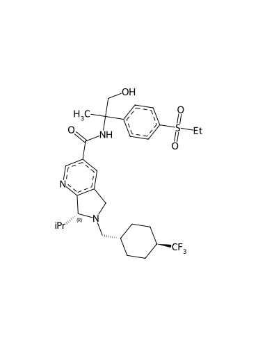 CCS(=O)(=O)c1ccc(C(C)(CO)NC(=O)c2cnc3c(c2)CN(C[C@H]2CC[C@H](C(F)(F)F)CC2)[C@@H]3C(C)C)cc1